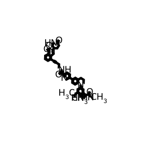 CNC(=O)c1c[nH]c2c(C(C)C)cc(N3CCCc4cc(-c5ccc(C(=O)NCCC#Cc6cccc7c6CN(C6CCC(=O)NC6=O)C7=O)nc5)ccc43)cc12